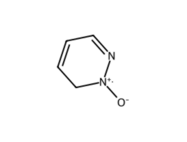 [O-][N+]1CC=CC=N1